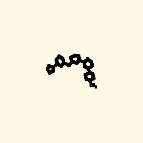 Cc1ccc(-c2ccnc(-c3cccc(Oc4cccc(-n5ccnc5)c4)c3)c2)cc1